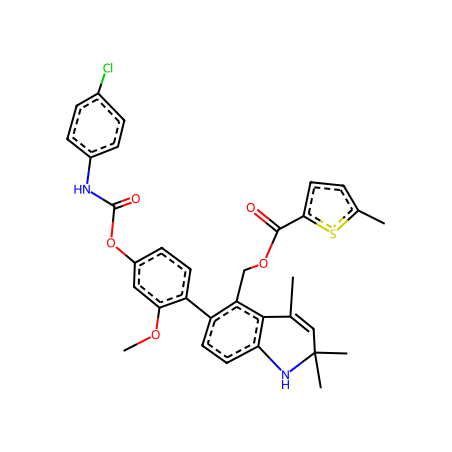 COc1cc(OC(=O)Nc2ccc(Cl)cc2)ccc1-c1ccc2c(c1COC(=O)c1ccc(C)s1)C(C)=CC(C)(C)N2